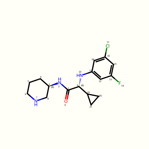 O=C(N[C@@H]1CCCNC1)[C@H](Nc1cc(F)cc(Cl)c1)C1CC1